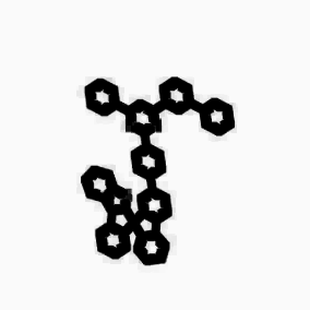 c1ccc(-c2cccc(-c3cc(-c4ccccc4)nc(-c4ccc(-c5ccc6c(c5)C5(c7ccccc7-6)c6ccccc6-c6c5sc5ccccc65)cc4)n3)c2)cc1